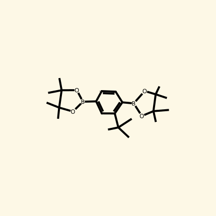 CC(C)(C)c1cc(B2OC(C)(C)C(C)(C)O2)[c]cc1B1OC(C)(C)C(C)(C)O1